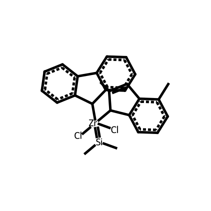 CC1=Cc2c(C)cccc2[CH]1[Zr]([Cl])([Cl])([CH]1c2ccccc2-c2ccccc21)=[Si](C)C